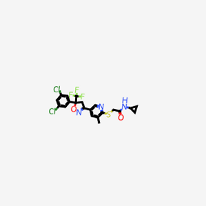 Cc1cc(C2=NOC(c3cc(Cl)cc(Cl)c3)(C(F)(F)F)C2)cnc1SCC(=O)NC1CC1